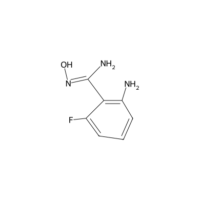 NC(=NO)c1c(N)cccc1F